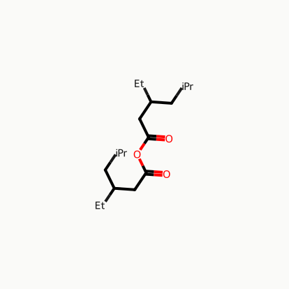 CCC(CC(=O)OC(=O)CC(CC)CC(C)C)CC(C)C